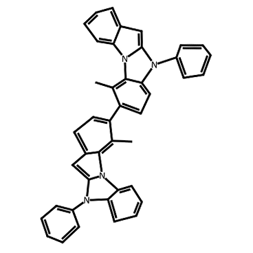 Cc1c(-c2ccc3c(c2C)n2c4ccccc4cc2n3-c2ccccc2)ccc2cc3n(-c4ccccc4)c4ccccc4n3c12